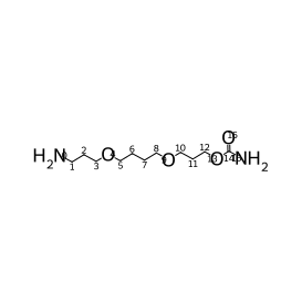 NCCCOCCCCOCCCOC(N)=O